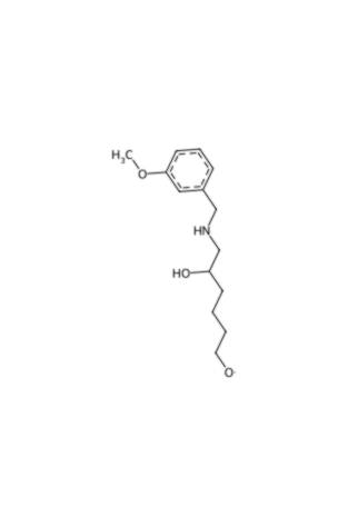 COc1cccc(CNCC(O)CCCC[O])c1